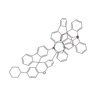 c1ccc2c(c1)Sc1ccccc1C21c2ccccc2-c2ccc(N(c3ccc4c(c3)C3(c5cc(C6CCCCC6)ccc5Oc5ccc(C6CCCCC6)cc53)c3ccccc3-4)c3ccccc3-c3cccc4oc5ccccc5c34)cc21